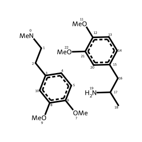 CNCCc1ccc(OC)c(OC)c1.COc1ccc(CC(C)N)cc1OC